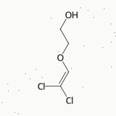 OCCOC=C(Cl)Cl